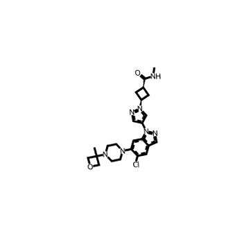 CNC(=O)[C@H]1C[C@@H](n2cc(-n3ncc4cc(Cl)c(N5CCN(C6(C)COC6)CC5)cc43)cn2)C1